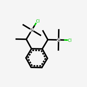 CC(c1ccccc1C(C)[Si](C)(C)Cl)[Si](C)(C)Cl